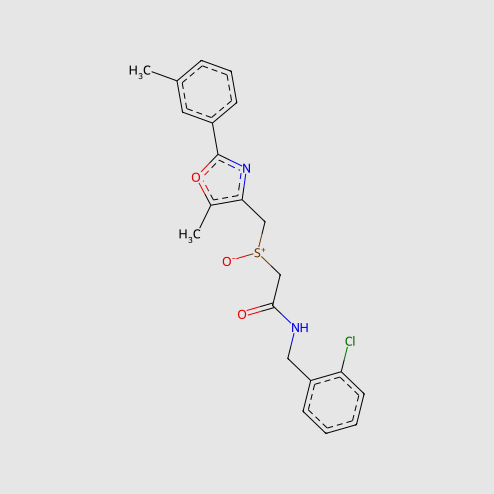 Cc1cccc(-c2nc(C[S+]([O-])CC(=O)NCc3ccccc3Cl)c(C)o2)c1